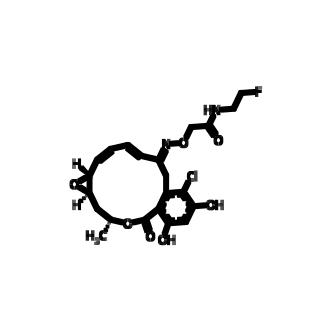 C[C@@H]1C[C@H]2O[C@@H]2/C=C\C=C\C(=NOCC(=O)NCCF)Cc2c(Cl)c(O)cc(O)c2C(=O)O1